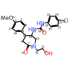 COc1ccc(C2CC(=O)N(CCO)CC2NC(=O)Nc2ccc(Cl)cc2)cc1